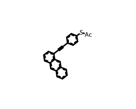 CC(=O)Sc1ccc(C#Cc2cccc3cc4ccccc4cc23)cc1